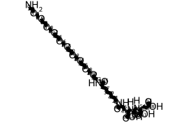 NCCOCCOCCOCCOCCOCCOCCOCCOCCOCCOCCNC(=O)CCCCCCCNC(=O)CC[C@H](NC(=O)N[C@@H](CCC(=O)O)C(=O)O)C(=O)O